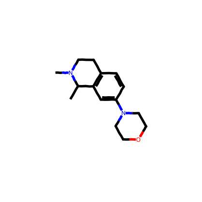 CC1c2cc(N3CCOCC3)ccc2CCN1C